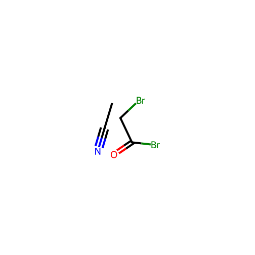 CC#N.O=C(Br)CBr